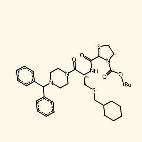 CC(C)(C)OC(=O)N1[CH]CSC1C(=O)N[C@@H](CSCC1CCCCC1)C(=O)N1CCN(C(c2ccccc2)c2ccccc2)CC1